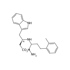 Cc1ccccc1CCC(CN)N[C@@H](CC(=O)O)Cc1c[nH]c2ccccc12